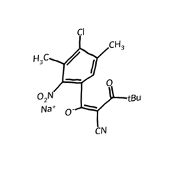 Cc1cc(C([O-])=C(C#N)C(=O)C(C)(C)C)c([N+](=O)[O-])c(C)c1Cl.[Na+]